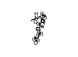 CCC(=O)NCCN1C(=O)C(C)(C)Oc2cc(C)c(C(=O)N(C(C)C)[C@@H]3CCCN(C(=O)OCc4oc(=O)oc4C)C3)cc21